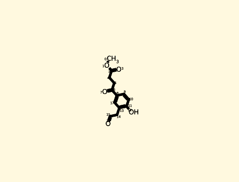 COC(=O)CCC(=O)c1ccc(O)c(CC=O)c1